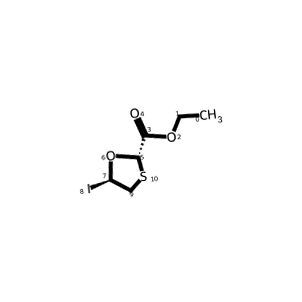 CCOC(=O)[C@H]1O[C@H](I)CS1